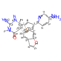 CN1C(=N)N[C@](C)(c2cc(-c3ccc(N)cn3)cs2)[C@H](c2ccc3occc3c2)C1=O